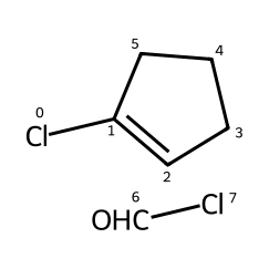 ClC1=CCCC1.O=CCl